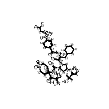 CC(C)(O)c1cnnn1[C@H]1C[C@@H](C(=O)NC2(C(=O)C(N)=O)CCS(=O)(=O)CC2)N(C(=O)C(CC2CCCCC2)NC(=O)c2ccc(S(=O)(=O)NCC(F)F)cc2)C1